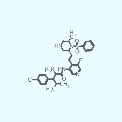 CC(C)C(c1ccc(Cl)cc1)C(N)C(=O)Nc1cncc(F)c1CC[C@H]1CNC[C@@H](C)N1S(=O)(=O)c1ccccc1